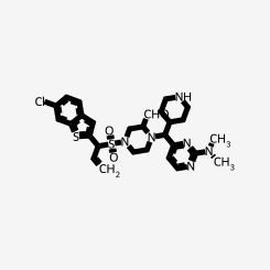 C=CC(c1cc2ccc(Cl)cc2s1)S(=O)(=O)N1CCN(C(c2ccnc(N(C)C)n2)C2CCNCC2)C(C=O)C1